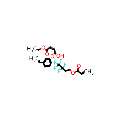 C=CC(=O)OCCC(F)(F)C(F)(F)F.C=Cc1ccccc1.CCOC(=O)/C=C\C(=O)O